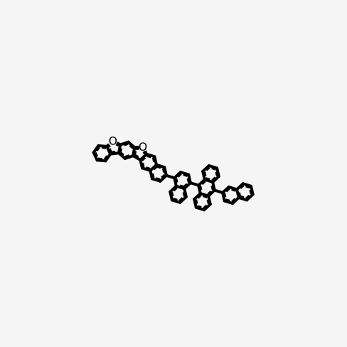 c1ccc2cc(-c3c4ccccc4c(-c4ccc(-c5ccc6cc7c(cc6c5)oc5cc6oc8ccccc8c6cc57)c5ccccc45)c4ccccc34)ccc2c1